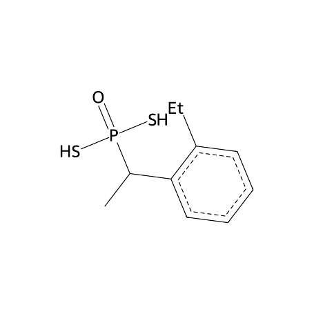 CCc1ccccc1C(C)P(=O)(S)S